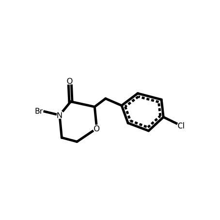 O=C1C(Cc2ccc(Cl)cc2)OCCN1Br